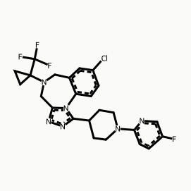 Fc1ccc(N2CCC(c3nnc4n3-c3ccc(Cl)cc3CN(C3(C(F)(F)F)CC3)C4)CC2)nc1